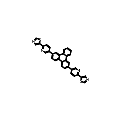 c1ccc2c(c1)c1cc(-c3ccc(-c4cncs4)nc3)ccc1c1ccc(-c3ccc(-c4cncs4)nc3)cc21